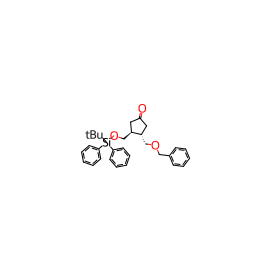 CC(C)(C)[Si](OC[C@H]1CC(=O)C[C@@H]1COCc1ccccc1)(c1ccccc1)c1ccccc1